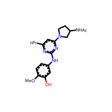 CCCc1cc(N2CCC(NC(C)=O)C2)nc(Nc2ccc(OC)c(O)c2)n1